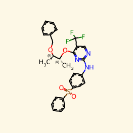 C[C@@H](OCc1ccccc1)[C@@H](C)Oc1nc(Nc2ccc(S(=O)(=O)c3ccccc3)cc2)ncc1C(F)(F)F